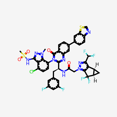 Cn1nc(NS(C)(=O)=O)c2c(Cl)ccc(-n3c([C@H](Cc4cc(F)cc(F)c4)NC(=O)Cn4nc(C(F)F)c5c4C(F)(F)[C@@H]4C[C@H]54)nc4cc(-c5ccc6ncsc6c5)ccc4c3=O)c21